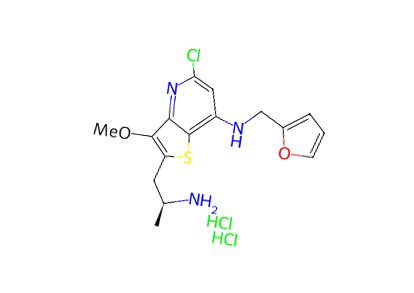 COc1c(C[C@H](C)N)sc2c(NCc3ccco3)cc(Cl)nc12.Cl.Cl